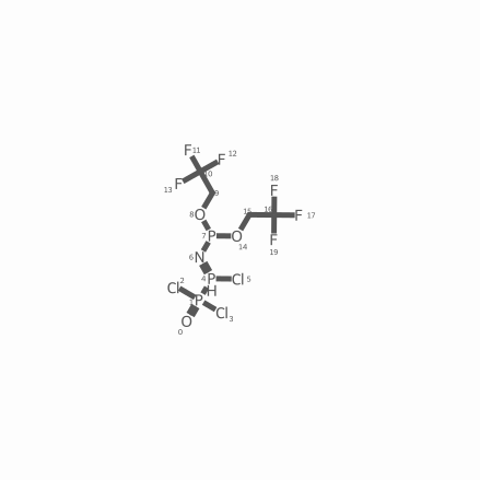 O=P(Cl)(Cl)/[PH](Cl)=N/P(OCC(F)(F)F)OCC(F)(F)F